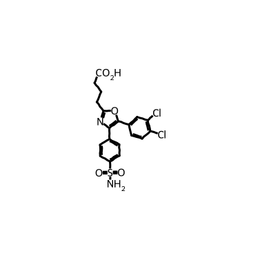 NS(=O)(=O)c1ccc(-c2nc(CCCC(=O)O)oc2-c2ccc(Cl)c(Cl)c2)cc1